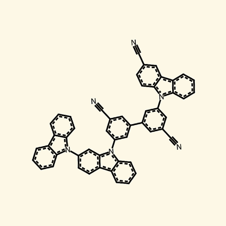 N#Cc1cc(-c2cc(C#N)cc(-n3c4ccccc4c4ccc(-n5c6ccccc6c6ccccc65)cc43)c2)cc(-n2c3ccccc3c3cc(C#N)ccc32)c1